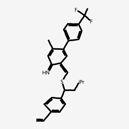 C=Cc1ccc(C(CC(C)C)S/C=C2/C=C(c3ccc(C(C)(F)F)cc3)C(C)=CC2=N)cc1